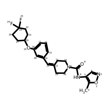 Cc1oncc1NC(=O)N1CCC(=Cc2cccc(OC3CCC(F)(F)CC3)c2)CC1